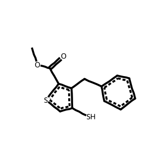 COC(=O)c1scc(S)c1Cc1ccccc1